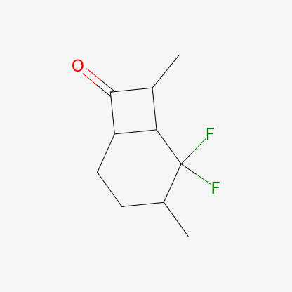 CC1C(=O)C2CCC(C)C(F)(F)C12